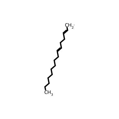 [CH2]C=CCCC=CCCCCCCCCC